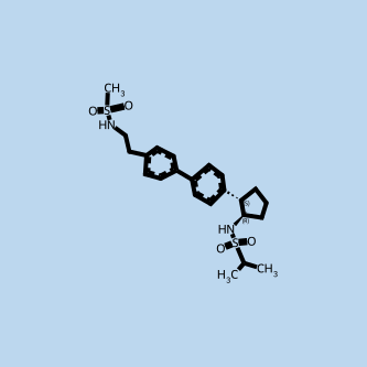 CC(C)S(=O)(=O)N[C@@H]1CCC[C@H]1c1ccc(-c2ccc(CCNS(C)(=O)=O)cc2)cc1